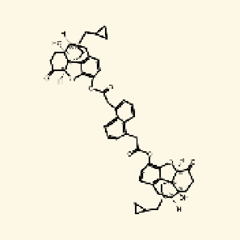 O=C(Cc1cccc2c(CC(=O)Oc3ccc4c5c3O[C@H]3C(=O)CC[C@@]6(O)[C@@H](C4)N(CC4CC4)CC[C@]536)cccc12)Oc1ccc2c3c1O[C@H]1C(=O)CC[C@@]4(O)[C@@H](C2)N(CC2CC2)CC[C@]314